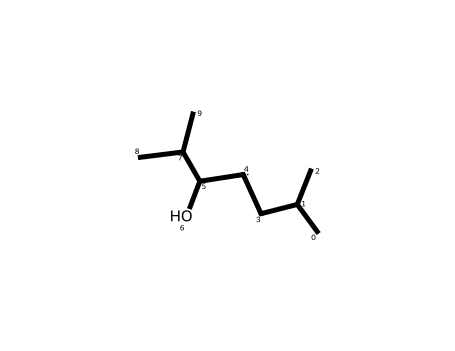 CC(C)C[CH]C(O)C(C)C